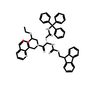 CCOC(CN(Cc1cccc2cccnc12)C(=O)[C@H](CC(=O)NC(c1ccccc1)(c1ccccc1)c1ccccc1)NC(=O)OCC1c2ccccc2-c2ccccc21)OCC